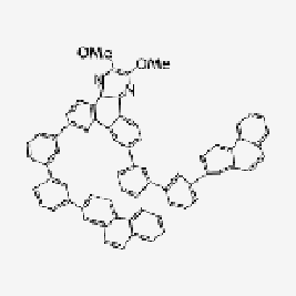 COc1nc2c3ccc(-c4cccc(-c5cccc(-c6ccc7c(ccc8ccccc87)c6)c5)c4)cc3c3cc(-c4cccc(-c5cccc(-c6ccc7c(ccc8ccccc87)c6)c5)c4)ccc3c2nc1OC